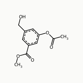 COC(=O)c1cc(CO)cc(OC(C)=O)c1